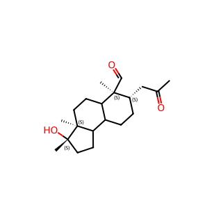 CC(=O)C[C@@H]1CCC2C3CC[C@](C)(O)[C@@]3(C)CCC2[C@@]1(C)C=O